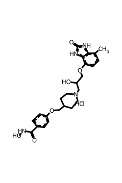 Cc1ccc(OCC(O)CN2CCC(COc3ccc(C(=O)NO)cc3)CC2)c2[nH]c(=O)[nH]c12.Cl